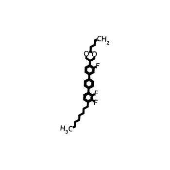 C=CCCC1OCC(c2ccc(-c3ccc(-c4ccc(CCCCCCCC)c(F)c4F)cc3)cc2F)CO1